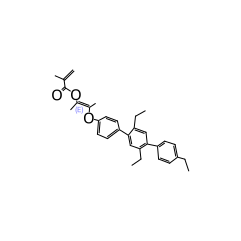 C=C(C)C(=O)O/C(C)=C(\C)Oc1ccc(-c2cc(CC)c(-c3ccc(CC)cc3)cc2CC)cc1